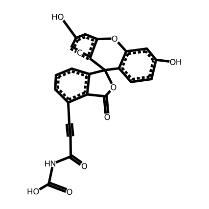 O=C(O)NC(=O)C#Cc1cccc2c1C(=O)OC21c2ccc(O)cc2Oc2cc(O)ccc21